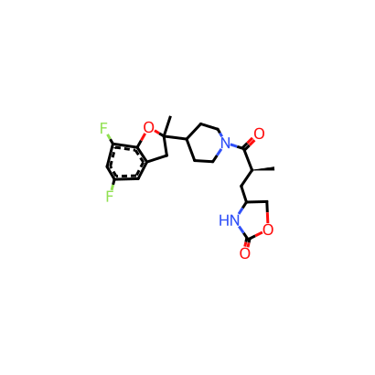 C[C@@H](CC1COC(=O)N1)C(=O)N1CCC(C2(C)Cc3cc(F)cc(F)c3O2)CC1